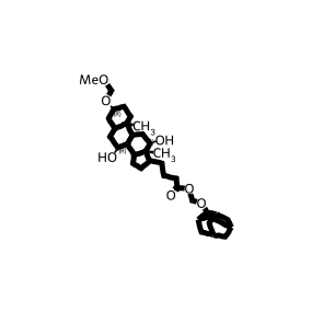 COCO[C@@H]1CC[C@@]2(C)C(C1)C[C@@H](O)C1C2C[C@H](O)[C@]2(C)C(CCCC(=O)OCOC3C4CC5CC(C4)CC3C5)CCC12